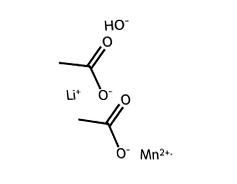 CC(=O)[O-].CC(=O)[O-].[Li+].[Mn+2].[OH-]